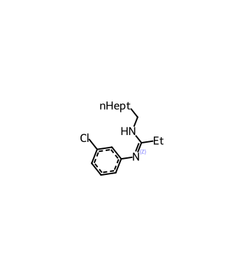 CCCCCCCCN/C(CC)=N\c1cccc(Cl)c1